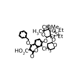 CC[Si](CC)(CC)O[C@@H]1[C@@H](OC2CCCCO2)[C@H](Oc2ccc3c(OCc4ccccc4)c(C(=O)O)c(=O)oc3c2C)OC(C)(C)[C@@H]1OC